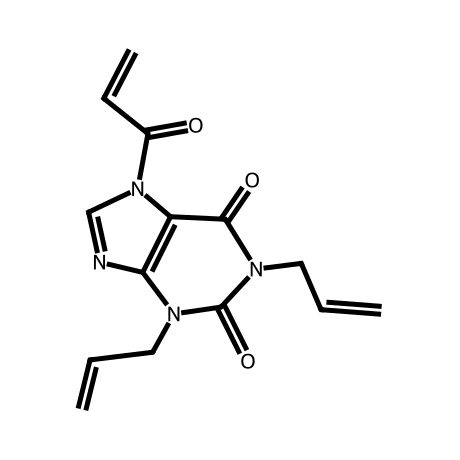 C=CCn1c(=O)c2c(ncn2C(=O)C=C)n(CC=C)c1=O